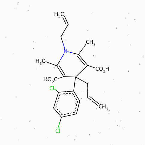 C=CCN1C(C)=C(C(=O)O)C(CC=C)(c2ccc(Cl)cc2Cl)C(C(=O)O)=C1C